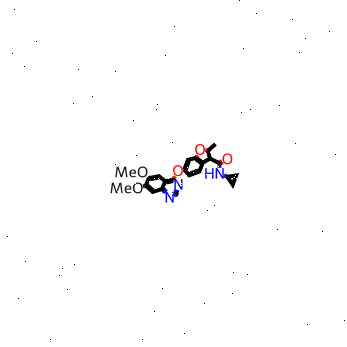 COc1cc2ncnc(Oc3ccc4c(c3)OC(C)C4C(=O)NC3CC3)c2cc1OC